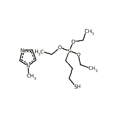 CCO[Si](CCCS)(OCC)OCC.Cn1ccnc1